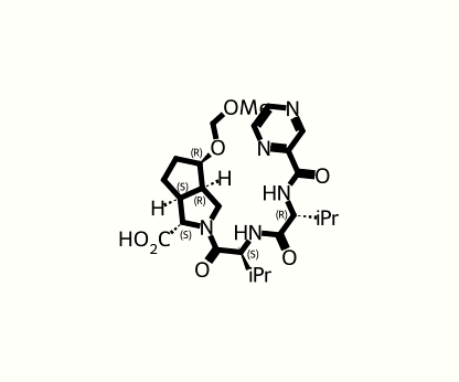 COCO[C@@H]1CC[C@H]2[C@@H]1CN(C(=O)[C@@H](NC(=O)[C@H](NC(=O)c1cnccn1)C(C)C)C(C)C)[C@@H]2C(=O)O